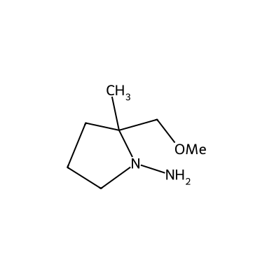 COCC1(C)CCCN1N